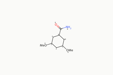 COC1CC(OC)CC(C(N)=O)C1